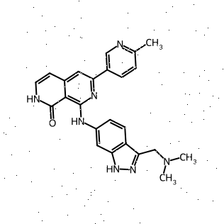 Cc1ccc(-c2cc3cc[nH]c(=O)c3c(Nc3ccc4c(CN(C)C)n[nH]c4c3)n2)cn1